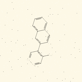 Nc1cnncc1-c1ccc2ccccc2c1